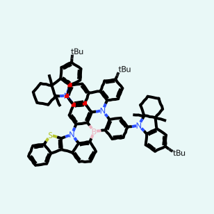 CC(C)(C)c1ccc(N2c3cc(N4c5ccc(C(C)(C)C)cc5C5(C)CCCCC45C)ccc3B3c4c2cc(N2c5ccc(C(C)(C)C)cc5C5(C)CCCCC25C)cc4-n2c4sc5ccccc5c4c4cccc3c42)c(-c2ccccc2)c1